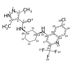 Cc1n[nH]c(C)c1C(=O)N[C@@H]1CCC[C@H](Nc2cc(C(F)(F)F)nc3ccc(Cl)cc23)C1